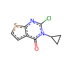 O=c1c2ccsc2nc(Cl)n1C1CC1